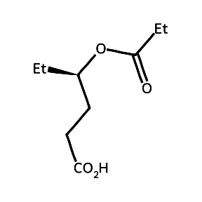 CCC(=O)O[C@H](CC)CCC(=O)O